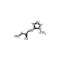 Cn1nnnc1SCC(=O)CO